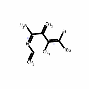 C=C/N=C(/N)C(=C)/C(C)=C(\CC)C(C)(C)C